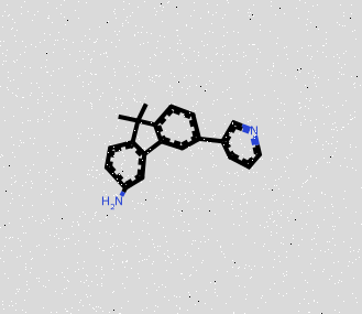 CC1(C)c2ccc(N)cc2-c2cc(-c3cccnc3)ccc21